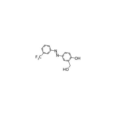 OCc1cc(N=Nc2cccc(C(F)(F)F)c2)ccc1O